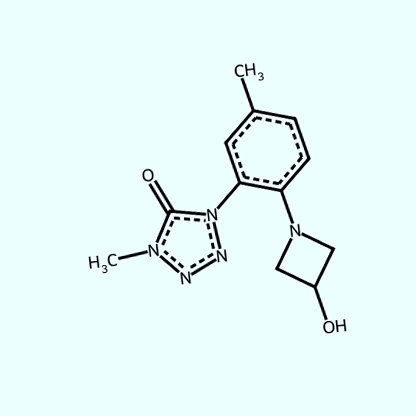 Cc1ccc(N2CC(O)C2)c(-n2nnn(C)c2=O)c1